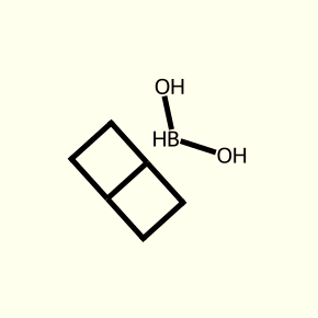 C1CC2CCC12.OBO